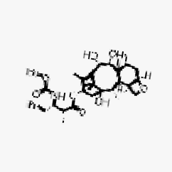 CC1=C2[C@H](O)[C@H](O)[C@@]3(C)[C@H]([C@H](C)[C@](O)(C[C@@H]1OC(=O)[C@H](C)[C@H](CC(C)C)NC(=O)OC(C)(C)C)C2(C)C)[C@]1(C)CO[C@@H]1C[C@@H]3C